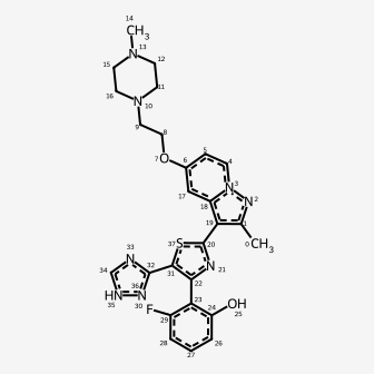 Cc1nn2ccc(OCCN3CCN(C)CC3)cc2c1-c1nc(-c2c(O)cccc2F)c(-c2nc[nH]n2)s1